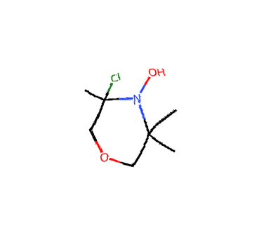 CC1(C)COCC(C)(Cl)N1O